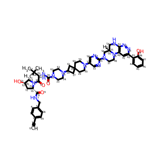 C#Cc1ccc(CNC(=O)[C@@H]2C[C@@H](O)CN2C(=O)[C@@H](NC(=O)N2CCN(C3CC4(CCN(c5cnc(N6CCN7c8cc(-c9ccccc9O)nnc8NC[C@H]7C6)nc5)CC4)C3)CC2)C(C)(C)C)cc1